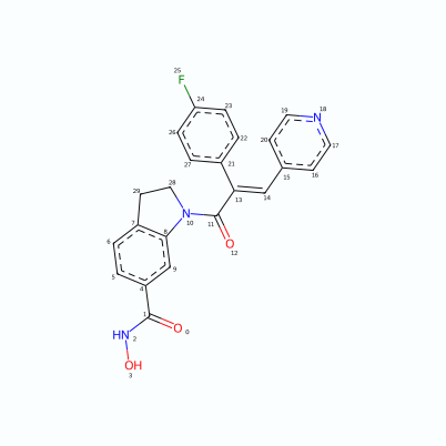 O=C(NO)c1ccc2c(c1)N(C(=O)C(=Cc1ccncc1)c1ccc(F)cc1)CC2